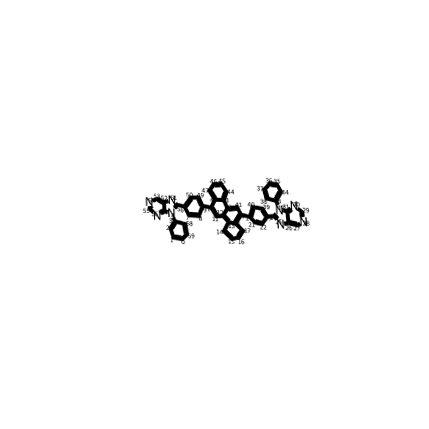 c1ccc(-n2c(-c3ccc(-c4cc5c6ccccc6c(-c6ccc(-c7nc8cncnc8n7-c7ccccc7)cc6)cc5c5ccccc45)cc3)nc3cncnc32)cc1